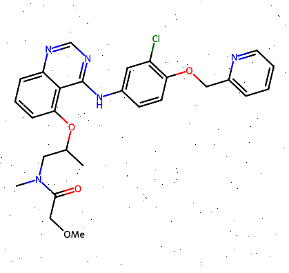 COCC(=O)N(C)CC(C)Oc1cccc2ncnc(Nc3ccc(OCc4ccccn4)c(Cl)c3)c12